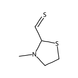 CN1CCSC1C=S